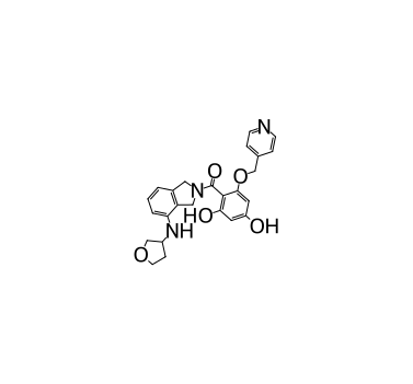 O=C(c1c(O)cc(O)cc1OCc1ccncc1)N1Cc2cccc(NC3CCOC3)c2C1